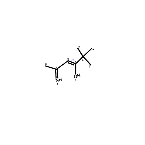 CC(=N)/C=C(\O)C(C)(C)C